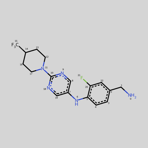 NCc1ccc(Nc2cnc(N3CCC(C(F)(F)F)CC3)nc2)c(F)c1